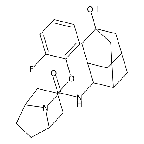 O=C(NC1C2CC3CC1CC(O)(C3)C2)N1C2CCC1CC(Oc1ccccc1F)C2